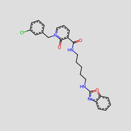 O=C(NCCCCCNc1nc2ccccc2o1)c1cccn(Cc2cccc(Cl)c2)c1=O